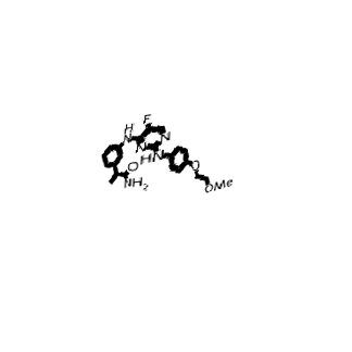 C=C(C(N)=O)c1cccc(Nc2nc(Nc3ccc(OCCOC)cc3)ncc2F)c1